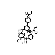 C=CC(=O)Nc1cccc(Nc2nc(Nc3cccc(C4CCN(C(=O)C=C)CC4)c3)ncc2C(F)(F)F)c1